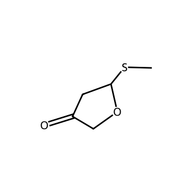 CSC1CC(=O)CO1